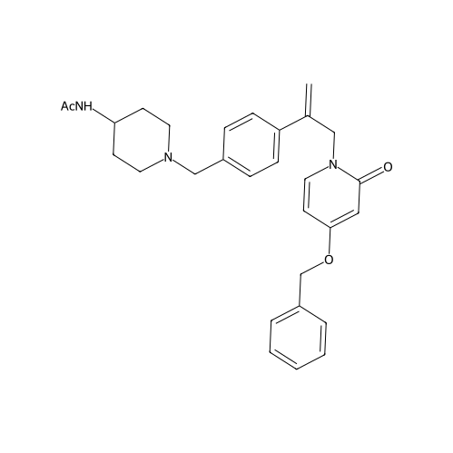 C=C(Cn1ccc(OCc2ccccc2)cc1=O)c1ccc(CN2CCC(NC(C)=O)CC2)cc1